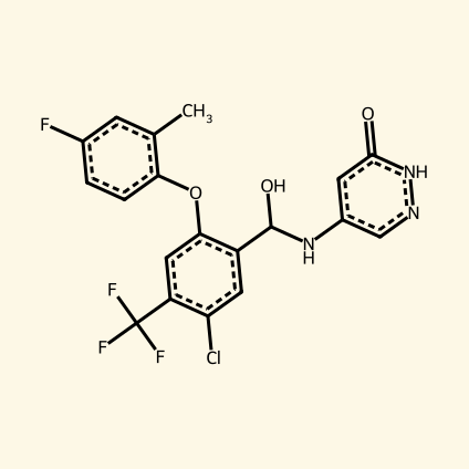 Cc1cc(F)ccc1Oc1cc(C(F)(F)F)c(Cl)cc1C(O)Nc1cn[nH]c(=O)c1